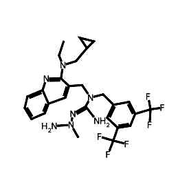 CCN(CC1CC1)c1nc2ccccc2cc1CN(Cc1cc(C(F)(F)F)cc(C(F)(F)F)c1)/C(N)=N/N(C)N